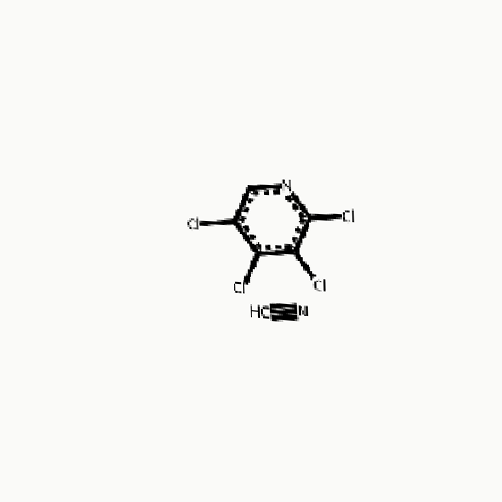 C#N.Clc1cnc(Cl)c(Cl)c1Cl